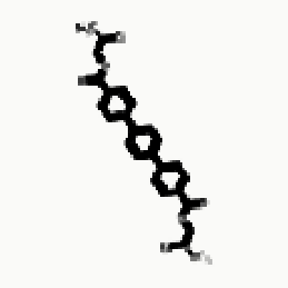 C[C@H](Cl)COC(=O)c1ccc(-c2ccc(-c3ccc(C(=O)OC[C@H](C)Cl)cc3)cc2)cc1